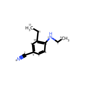 CCNc1ccc(C#N)cc1CC